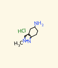 Cl.Cn1cc2c(n1)CCC(N)C2